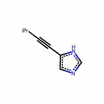 CC(C)C#Cc1cnc[nH]1